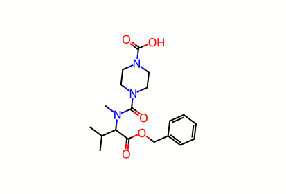 CC(C)C(C(=O)OCc1ccccc1)N(C)C(=O)N1CCN(C(=O)O)CC1